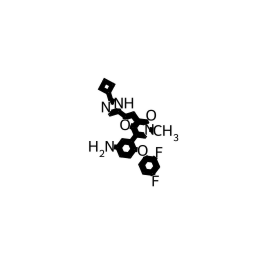 Cn1cc(-c2cc(N)ccc2Oc2ccc(F)cc2F)c2oc(-c3cnc(C4CCC4)[nH]3)cc2c1=O